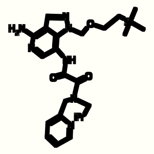 CC(C)CN(Cc1ccccn1)C(=O)C(=O)Nc1cnc(N)c2cnn(COCC[Si](C)(C)C)c12